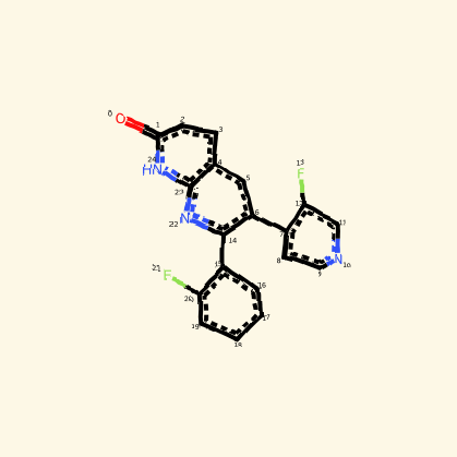 O=c1ccc2cc(-c3ccncc3F)c(-c3ccccc3F)nc2[nH]1